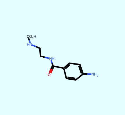 Nc1ccc(C(=O)NCCNC(=O)O)cc1